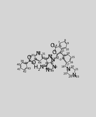 C[C@@H](c1oc(=O)c2ccccc2c1-c1cccc(CN2CCN(C)CC2)c1)n1nc(-c2cncc(OC(=O)c3ccccc3)c2)c2c(N)ncnc21